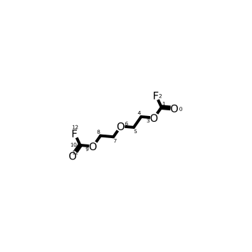 O=C(F)OCCOCCOC(=O)F